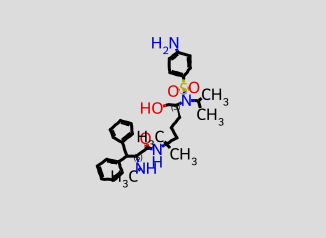 CN[C@H](C(=O)NC(C)(C)CCC[C@@H](CO)N(C(C)C)S(=O)(=O)c1ccc(N)cc1)C(c1ccccc1)c1ccccc1